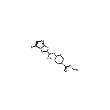 CN(CC1CCN(C(=O)OC(C)(C)C)CC1)c1nn2c(I)cnc2s1